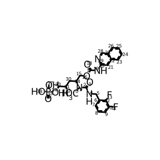 CN(C(=O)NCc1cccc(F)c1F)C(COC(=O)Nc1cc2ccccc2cn1)CC(O)COP(=O)(O)O